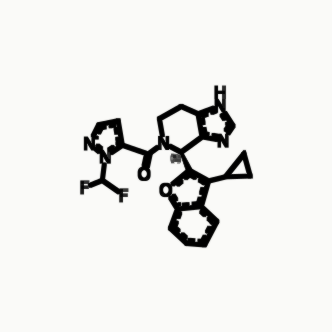 O=C(c1ccnn1C(F)F)N1CCc2[nH]cnc2[C@H]1c1oc2ccccc2c1C1CC1